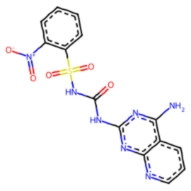 Nc1nc(NC(=O)NS(=O)(=O)c2ccccc2[N+](=O)[O-])nc2ncccc12